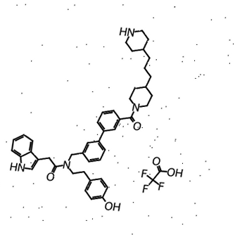 O=C(Cc1c[nH]c2ccccc12)N(CCc1ccc(O)cc1)Cc1cccc(-c2cccc(C(=O)N3CCC(CCCC4CCNCC4)CC3)c2)c1.O=C(O)C(F)(F)F